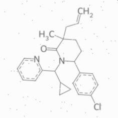 C=CCC1(C)CCC(c2ccc(Cl)cc2)N(C(c2ccccn2)C2CC2)C1=O